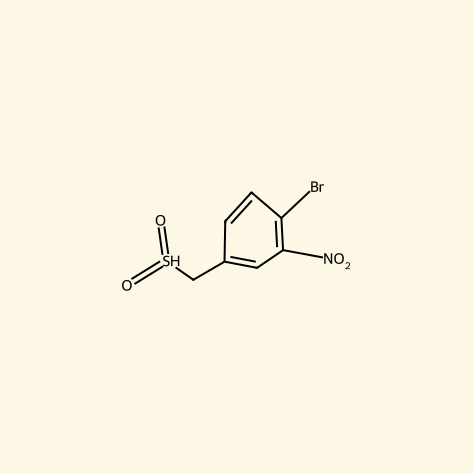 O=[N+]([O-])c1cc(C[SH](=O)=O)ccc1Br